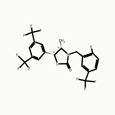 C[C@H]1[C@@H](c2cc(C(F)(F)F)cc(C(F)(F)F)c2)OC(=O)N1Cc1cc(C(F)(F)F)ccc1F